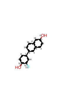 Oc1ccc2cc(-c3ccc(O)c(F)c3)ccc2c1